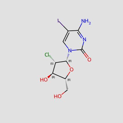 Nc1nc(=O)n([C@@H]2O[C@H](CO)[C@@H](O)[C@@H]2Cl)cc1I